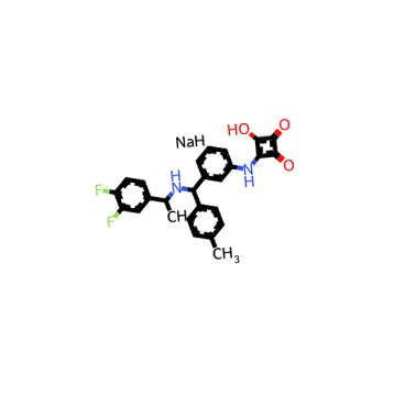 Cc1ccc(C(NC(C)c2ccc(F)c(F)c2)c2cccc(Nc3c(O)c(=O)c3=O)c2)cc1.[NaH]